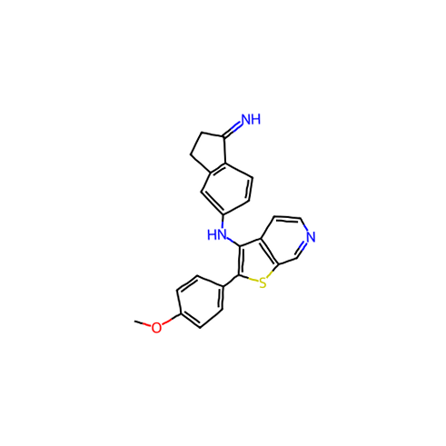 COc1ccc(-c2sc3cnccc3c2Nc2ccc3c(c2)CCC3=N)cc1